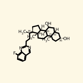 C[C@H](CCc1ncc2cccc(F)c2n1)[C@H]1CC[C@H]2[C@H]3C(CC[C@]12C)[C@@]1(C)CC[C@@H](O)C[C@H]1C[C@@H]3O